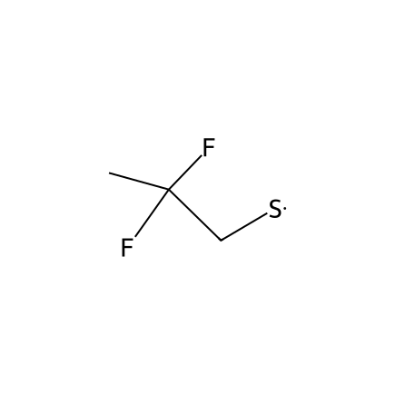 CC(F)(F)C[S]